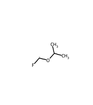 CC(C)O[CH]F